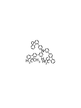 CC1(C)c2ccccc2-c2ccc(-c3cccc(N(c4ccc(-c5cccc6oc7ccccc7c56)cc4)c4cccc(-c5ccc6c(c5)C(C)(C)c5ccccc5-6)c4)c3)cc21